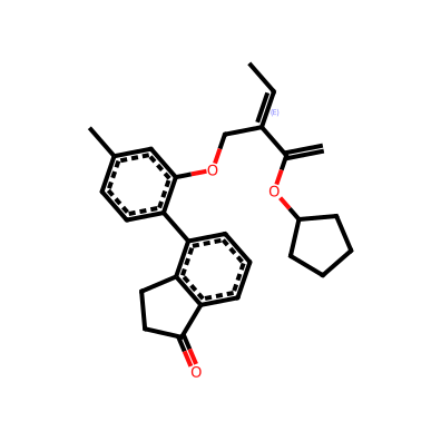 C=C(OC1CCCC1)/C(=C/C)COc1cc(C)ccc1-c1cccc2c1CCC2=O